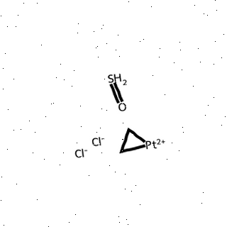 O=[SH2].[CH2]1[CH2][Pt+2]1.[Cl-].[Cl-]